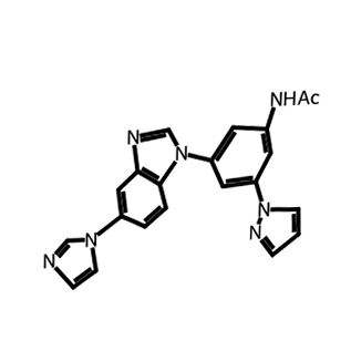 CC(=O)Nc1cc(-n2cccn2)cc(-n2cnc3cc(-n4ccnc4)ccc32)c1